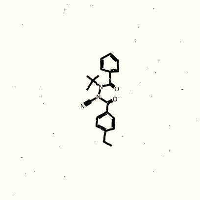 CCc1ccc(C(=O)N(C#N)N(C(=O)c2ccccc2)C(C)(C)C)cc1